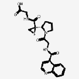 O=C(O)CNC(=O)C1([C@@H]2CCCN2C(=O)CNC(=O)c2ccnc3ccccc23)CS1